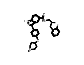 CC(CNC(=O)c1ccc2[nH]nc(-c3ccc(OC4CCN(C)CC4)cc3)c2c1)Cc1ccccc1Cl